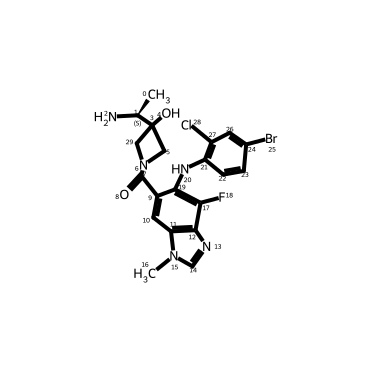 C[C@H](N)C1(O)CN(C(=O)c2cc3c(ncn3C)c(F)c2Nc2ccc(Br)cc2Cl)C1